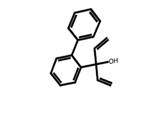 C=CC(O)(C=C)c1ccccc1-c1ccccc1